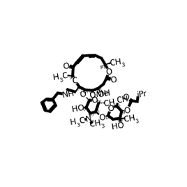 CO[C@@H]1[C@@H](O[C@@H]2O[C@H](C)[C@@H](O[C@H]3C[C@@](C)(O)[C@@H](OC(=O)CC(C)C)[C@H](C)O3)[C@H](N(C)C)[C@H]2O)[C@@H](CCNCc2ccccc2)C[C@@H](C)C(=O)C=CC=CC[C@@H](C)OC(=O)C[C@@H]1O